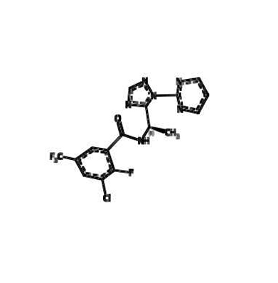 C[C@@H](NC(=O)c1cc(C(F)(F)F)cc(Cl)c1F)c1ncnn1-c1ncccn1